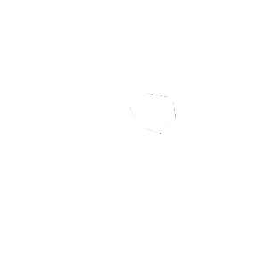 C1COCCO1.Cl.Cl.Cl.Cl